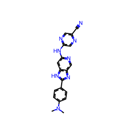 CN(C)c1ccc(-c2nc3cnc(Nc4cnc(C#N)cn4)cc3[nH]2)cc1